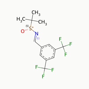 CC(C)(C)[S@@+]([O-])/N=C/c1cc(C(F)(F)F)cc(C(F)(F)F)c1